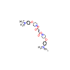 CN(C)c1ccc(OC2CCN(OC(=O)/C=C/C(=O)ON3CCC(Oc4ccc(N(C)C)cc4)CC3)CC2)cc1